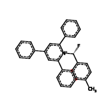 Cc1ccc([C@@H](F)[n+]2c(-c3ccccc3)cc(-c3ccccc3)cc2-c2ccccc2)cc1